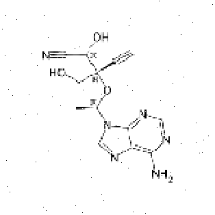 C#C[C@](CO)(O[C@H](C)n1cnc2c(N)ncnc21)[C@@H](O)C#N